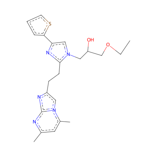 CCOCC(O)Cn1cc(-c2cccs2)nc1CCc1cn2c(C)cc(C)nc2n1